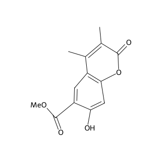 COC(=O)c1cc2c(C)c(C)c(=O)oc2cc1O